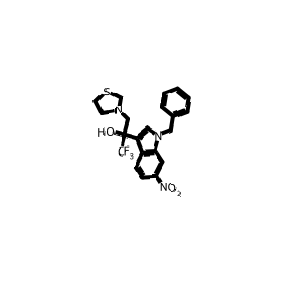 O=[N+]([O-])c1ccc2c(C(O)(CN3CCSC3)C(F)(F)F)cn(Cc3ccccc3)c2c1